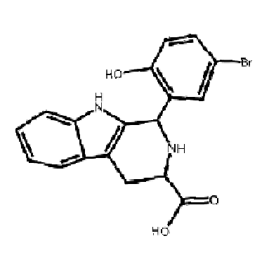 O=C(O)C1Cc2c([nH]c3ccccc23)C(c2cc(Br)ccc2O)N1